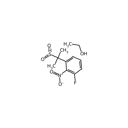 CC(C)(c1cccc(F)c1[N+](=O)[O-])[SH](=O)=O.CCO